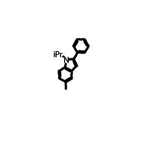 Cc1ccc2c(c1)cc(-c1ccccc1)n2C(C)C